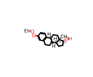 CCOOc1ccc2c(c1)CC[C@@H]1[C@@H]2CC[C@]2(C)[C@@H](O)CC[C@@H]12